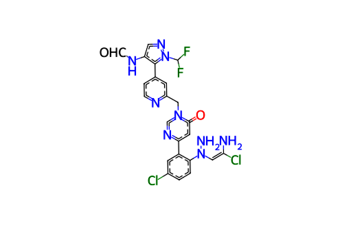 N/C(Cl)=C\N(N)c1ccc(Cl)cc1-c1cc(=O)n(Cc2cc(-c3c(NC=O)cnn3C(F)F)ccn2)cn1